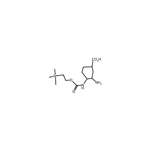 C[Si](C)(C)CCOC(=O)NC1CCC(C(=O)O)CC1N